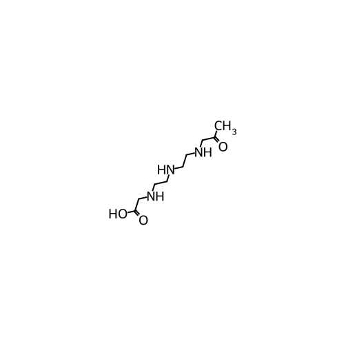 CC(=O)CNCCNCCNCC(=O)O